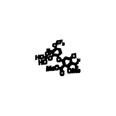 COC(=O)c1c(Oc2ccc(OC(F)(F)F)c(F)c2OC(O)(O)O)cc(Cl)c(C(F)F)c1OC